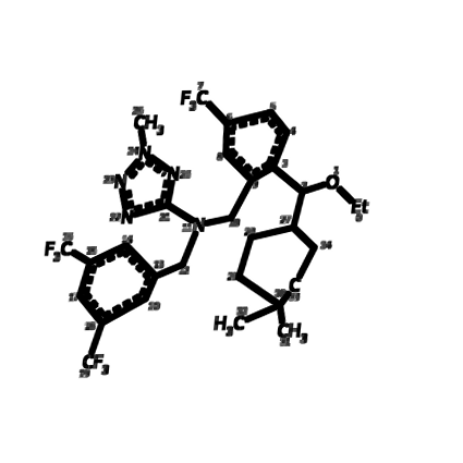 CCOC(c1ccc(C(F)(F)F)cc1CN(Cc1cc(C(F)(F)F)cc(C(F)(F)F)c1)c1nnn(C)n1)C1CCC(C)(C)CC1